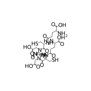 NC(CCC(=O)NC(CS)C(=O)[N](CC(=O)O)[Fe]([N]=O)([N]=O)[N](CC(=O)O)C(=O)C(CS)NC(=O)CCC(N)C(=O)O)C(=O)O